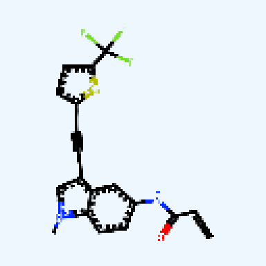 C=CC(=O)Nc1ccc2c(c1)c(C#Cc1ccc(C(F)(F)F)s1)cn2C